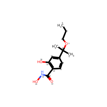 CCCOC(C)(C)c1ccc(C(=O)NO)c(O)c1